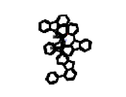 N=C(/N=C(\Nn1c2c(c3ccccc31)=CCCC=2)c1ccccc1-n1c2ccccc2c2ccc3c4ccccc4n(-c4ccccc4)c3c21)c1ccc2c(c1)oc1cccc(-c3ccccc3)c12